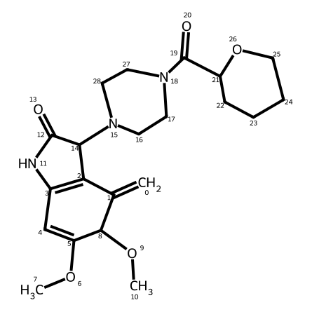 C=C1C2=C(C=C(OC)C1OC)NC(=O)C2N1CCN(C(=O)C2CCCCO2)CC1